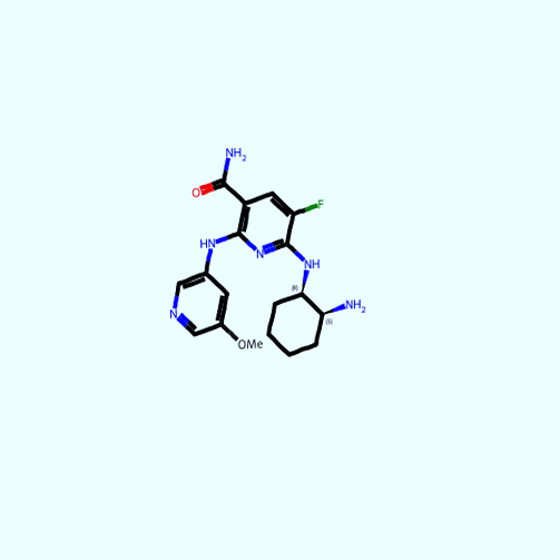 COc1cncc(Nc2nc(N[C@@H]3CCCC[C@@H]3N)c(F)cc2C(N)=O)c1